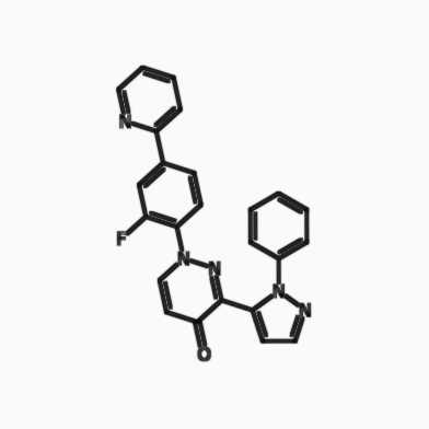 O=c1ccn(-c2ccc(-c3ccccn3)cc2F)nc1-c1ccnn1-c1ccccc1